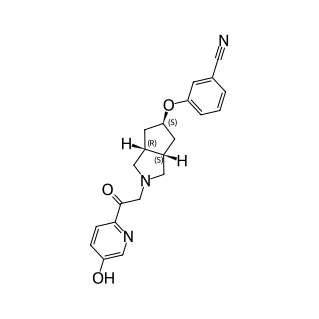 N#Cc1cccc(O[C@H]2C[C@@H]3CN(CC(=O)c4ccc(O)cn4)C[C@@H]3C2)c1